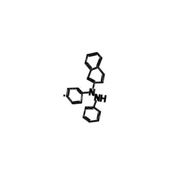 [c]1ccc(N(Nc2ccccc2)c2ccc3ccccc3c2)cc1